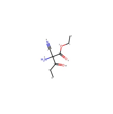 CCOC(=O)C(N)(C#N)C(=O)CC